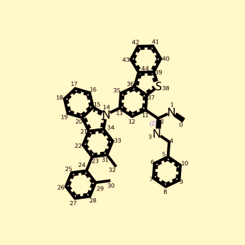 C=N/C(=N\Cc1ccccc1)c1cc(-n2c3ccccc3c3cc(-c4ccccc4C)c(C)cc32)cc2c1sc1ccccc12